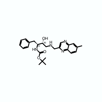 Cc1ccc2nc(CNC[C@@H](O)[C@H](Cc3ccccc3)NC(=O)OC(C)(C)C)cnc2c1